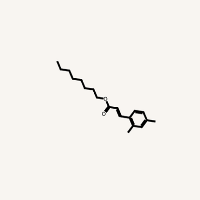 CCCCCCCCOC(=O)C=Cc1ccc(C)cc1C